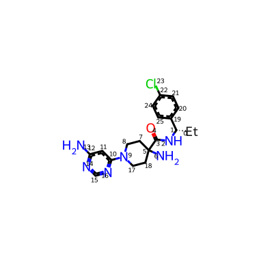 CC[C@H](NC(=O)C1(N)CCN(c2cc(N)ncn2)CC1)c1ccc(Cl)cc1